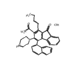 CCCCc1c2c(c(-c3cccc4ccccc34)c(N3CCNCC3)c1C(N)=O)-c1ccccc1C2=O.Cl